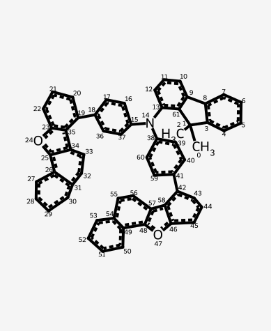 CC1(C)c2ccccc2-c2cccc(N(c3ccc(-c4cccc5oc6c7ccccc7ccc6c45)cc3)c3ccc(-c4cccc5oc6c7ccccc7ccc6c45)cc3)c21